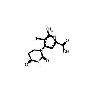 Cc1nc(C(=O)O)cc(N2CCC(=O)NC2=O)c1Cl